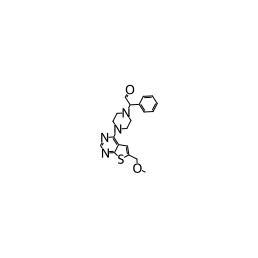 COCc1cc2c(N3CCN(C(C=O)c4ccccc4)CC3)ncnc2s1